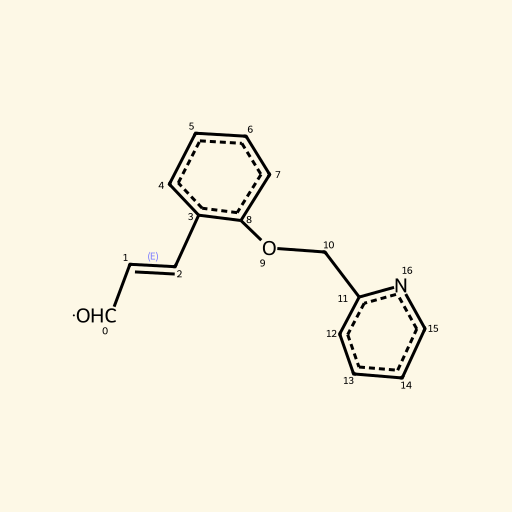 O=[C]/C=C/c1ccccc1OCc1ccccn1